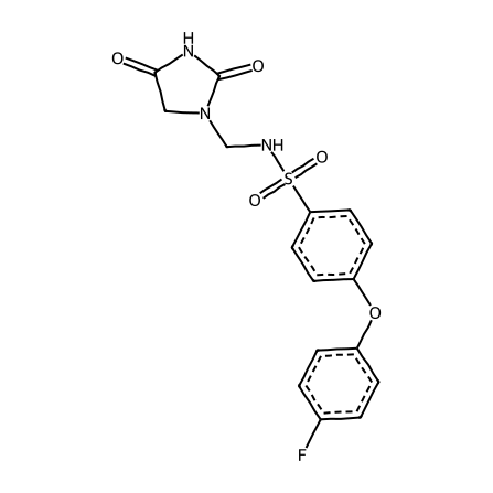 O=C1CN(CNS(=O)(=O)c2ccc(Oc3ccc(F)cc3)cc2)C(=O)N1